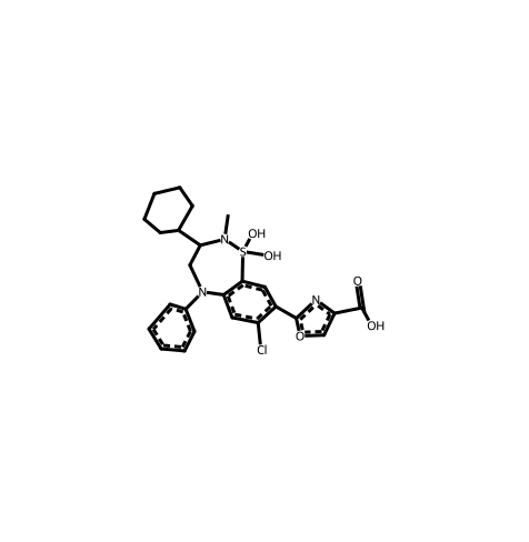 CN1C(C2CCCCC2)CN(c2ccccc2)c2cc(Cl)c(-c3nc(C(=O)O)co3)cc2S1(O)O